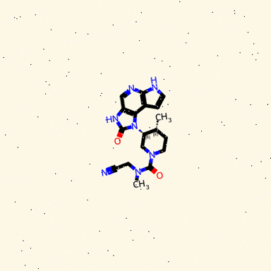 C[C@@H]1CCN(C(=O)N(C)CC#N)C[C@@H]1n1c(=O)[nH]c2cnc3[nH]ccc3c21